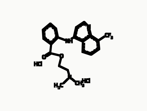 CN(C)CCOC(=O)c1ccccc1Nc1ccnc2c(C(F)(F)F)cccc12.Cl.Cl